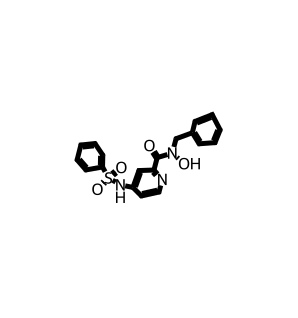 O=C(c1cc(NS(=O)(=O)c2ccccc2)ccn1)N(O)Cc1ccccc1